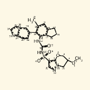 COC1COc2c(S(=O)(=O)NC(=O)Nc3c4c(cc(C)c3-c3ccc5nccn5c3)CCC4)cnn2C1